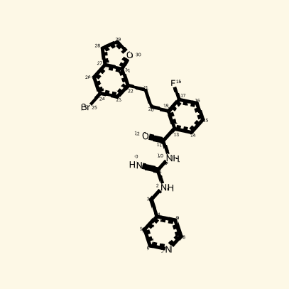 N=C(NCc1ccncc1)NC(=O)c1cccc(F)c1CCc1cc(Br)cc2ccoc12